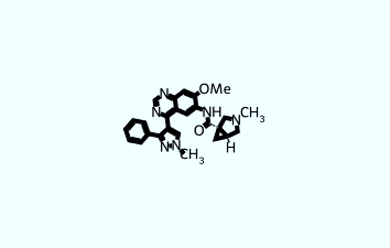 COc1cc2ncnc(-c3cn(C)nc3-c3ccccc3)c2cc1NC(=O)[C@@]12C[C@@H]1CN(C)C2